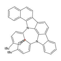 CC(C)(C)c1ccc(-n2c3ccccc3c3ccc4c5ccc6ccccc6c5n(-c5ccc(C(C)(C)C)cc5)c4c32)cc1